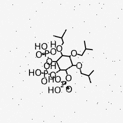 CC(C)COC1C(OCC(C)C)C(OP(=O)(O)O)C(OP(=O)(O)O)C(OP(=O)(O)O)C1OCC(C)C